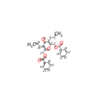 CCCc1c(COC(=O)c2ccccc2)oc(COC(=O)c2ccccc2)c(CCC)c1=O